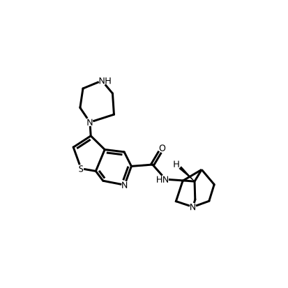 O=C(N[C@H]1CN2CCC1CC2)c1cc2c(N3CCNCC3)csc2cn1